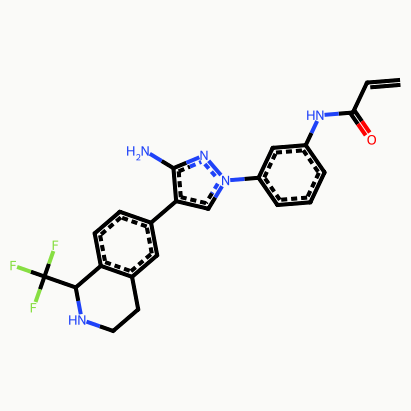 C=CC(=O)Nc1cccc(-n2cc(-c3ccc4c(c3)CCNC4C(F)(F)F)c(N)n2)c1